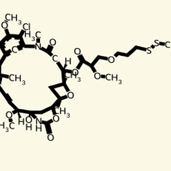 COc1cc2cc(c1Cl)N(C)C(=O)C[C@H](OC(=O)C(COCCCSSC)OC)[C@@]1(C)CC(C)(O1)C1C[C@@](O)(NC(=O)O1)[C@H](OC)/C=C/C=C(\C)C2